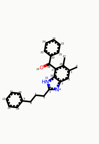 Cc1cc2nc(CCCc3ccccc3)[nH]c2c(C(=O)c2ccccc2)c1C